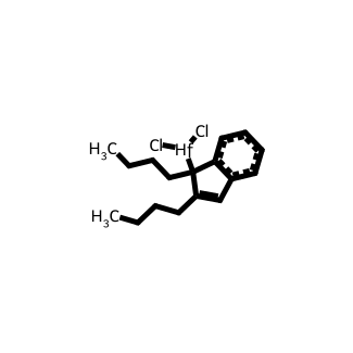 CCCCC1=Cc2ccccc2[C]1(CCCC)[Hf]([Cl])[Cl]